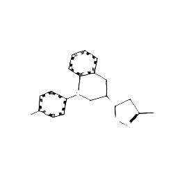 FC(F)(F)c1ccc(N2CC([C@H]3CC(Br)=NO3)Cc3ccccc32)cc1